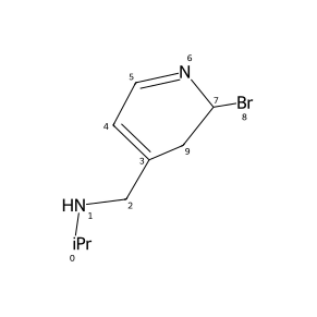 CC(C)NCC1=CC=NC(Br)C1